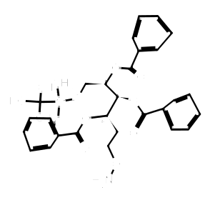 CC(C)(C)[Si](C)(C)OC[C@@H](OC(=O)c1ccccc1)[C@@H](OC(=O)c1ccccc1)[C@@H](CCON)OC(=O)c1ccccc1